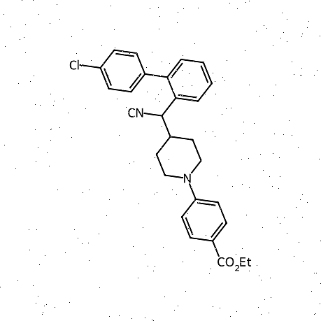 [C-]#[N+]C(c1ccccc1-c1ccc(Cl)cc1)C1CCN(c2ccc(C(=O)OCC)cc2)CC1